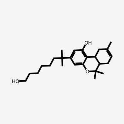 CC1=CCC2C(C1)c1c(O)cc(C(C)(C)CCCCCCO)cc1OC2(C)C